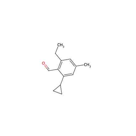 CCc1cc(C)cc(C2CC2)c1C=O